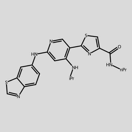 CCCNC(=O)c1csc(-c2cnc(Nc3ccc4ncsc4c3)cc2NC(C)C)n1